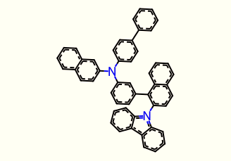 c1ccc(-c2ccc(N(c3cccc(-c4c(-n5c6ccccc6c6ccccc65)ccc5ccccc45)c3)c3ccc4ccccc4c3)cc2)cc1